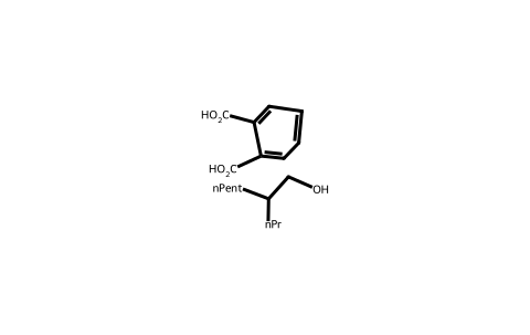 CCCCCC(CO)CCC.O=C(O)c1ccccc1C(=O)O